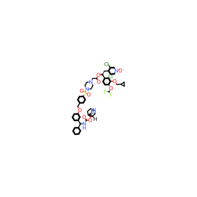 O=C(CN1CCN(S(=O)(=O)c2ccc(COc3cccc([C@@H](NC(=O)O[C@H]4CN5CCC4CC5)c4ccccc4)c3)cc2)CC1)O[C@@H](Cc1c(Cl)c[n+]([O-])cc1Cl)c1ccc(OC(F)F)c(OCC2CC2)c1